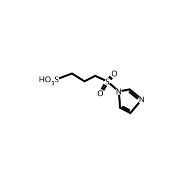 O=S(=O)(O)CCCS(=O)(=O)n1ccnc1